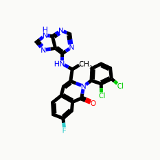 CC(Nc1ncnc2[nH]cnc12)c1cc2ccc(F)cc2c(=O)n1-c1cccc(Cl)c1Cl